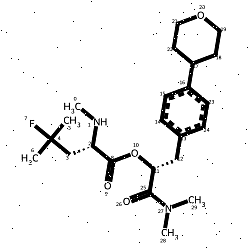 CN[C@@H](CC(C)(C)F)C(=O)O[C@H](Cc1ccc(C2CCOCC2)cc1)C(=O)N(C)C